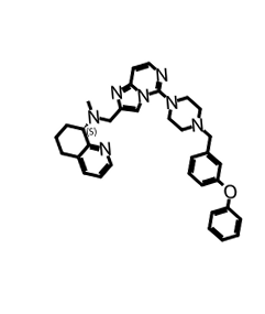 CN(Cc1cn2c(N3CCN(Cc4cccc(Oc5ccccc5)c4)CC3)nccc2n1)[C@H]1CCCc2cccnc21